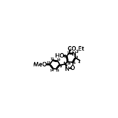 CCOC(=O)c1nc(C)c2onc(-c3ccc(OC)cc3)c2c1O